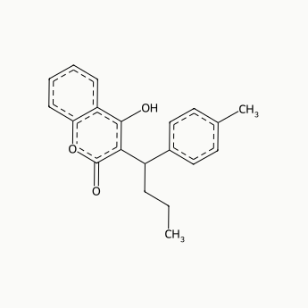 CCCC(c1ccc(C)cc1)c1c(O)c2ccccc2oc1=O